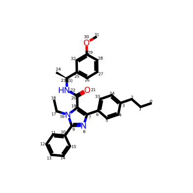 CCCc1ccc(-c2nc(-c3ccccc3)n(CC)c2C(=O)N[C@@H](C)c2cccc(OC)c2)cc1